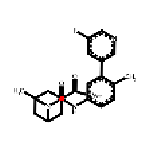 COC(=O)C1CC2CC(C)(C1)N2C(=O)Nc1ccc(C)c(-c2cncc(F)c2)c1